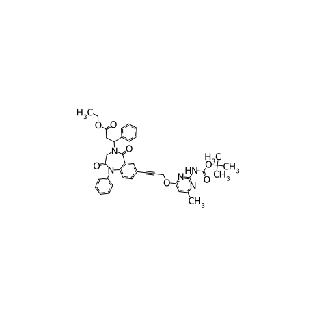 CCOC(=O)CC(c1ccccc1)N1CC(=O)N(c2ccccc2)c2ccc(C#CCOc3cc(C)nc(NC(=O)OC(C)(C)C)n3)cc2C1=O